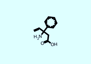 C=CC(N)(CC(=O)O)c1ccccc1